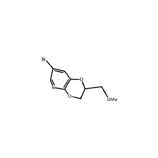 COCC1COc2ncc(Br)cc2O1